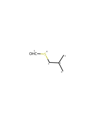 CC(C)CSC=O